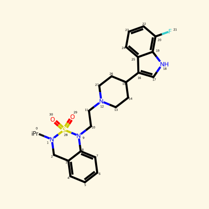 CC(C)N1Cc2ccccc2N(CCN2CCC(c3c[nH]c4c(F)cccc34)CC2)S1(=O)=O